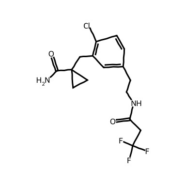 NC(=O)C1(Cc2cc(CCNC(=O)CC(F)(F)F)ccc2Cl)CC1